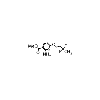 COC(=O)c1ccc(OCCC(C)(F)F)nc1N